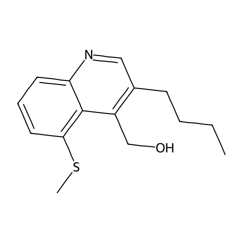 CCCCc1cnc2cccc(SC)c2c1CO